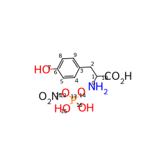 NC(Cc1ccc(O)cc1)C(=O)O.O=[N+]([O-])OP(=O)(O)O